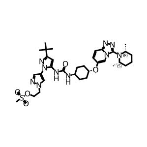 C[C@@H]1CCC[C@H](C)N1c1nnc2ccc(O[C@H]3CC[C@H](NC(=O)Nc4cc(C(C)(C)C)nn4-c4cnn(CCOS(C)(=O)=O)c4)CC3)cn12